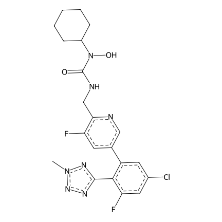 Cn1nnc(-c2c(F)cc(Cl)cc2-c2cnc(CNC(=O)N(O)C3CCCCC3)c(F)c2)n1